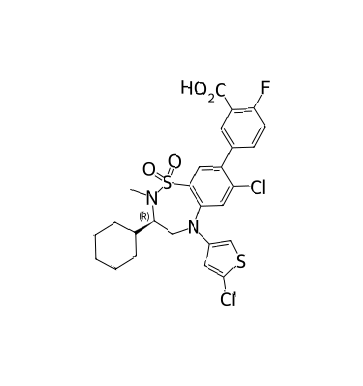 CN1[C@H](C2CCCCC2)CN(c2csc(Cl)c2)c2cc(Cl)c(-c3ccc(F)c(C(=O)O)c3)cc2S1(=O)=O